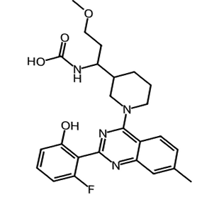 COCCC(NC(=O)O)C1CCCN(c2nc(-c3c(O)cccc3F)nc3cc(C)ccc23)C1